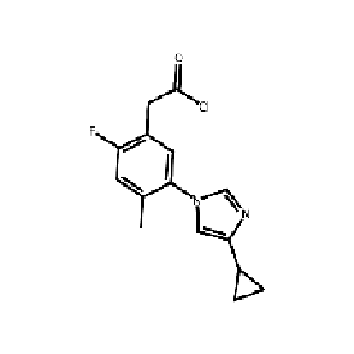 Cc1cc(F)c(CC(=O)Cl)cc1-n1cnc(C2CC2)c1